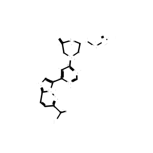 CS(=O)(=O)NC[C@@H]1CN(c2cc(-c3cnc4ccc(C(F)F)nn34)ncn2)CC(=O)N1